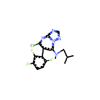 CC(C)CN(C)c1c(-c2c(F)ccc(F)c2F)c(Cl)nc2ncnn12